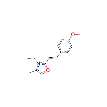 CC[n+]1c(C)coc1/C=C/c1ccc(OC)cc1